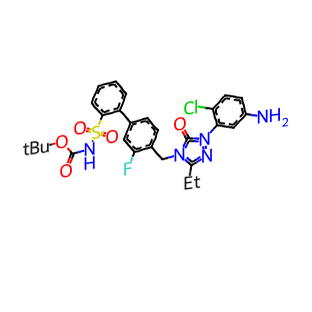 CCc1nn(-c2cc(N)ccc2Cl)c(=O)n1Cc1ccc(-c2ccccc2S(=O)(=O)NC(=O)OC(C)(C)C)cc1F